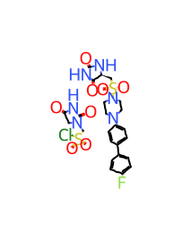 O=C1CN(CS(=O)(=O)Cl)C(=O)N1.O=C1NC(=O)[C@H](CS(=O)(=O)N2CCN(c3ccc(-c4ccc(F)cc4)cc3)CC2)N1